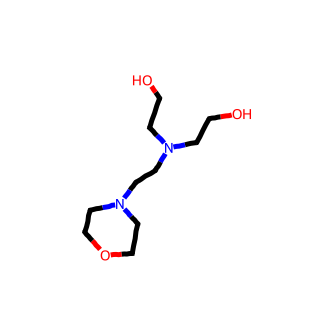 OCCN(CCO)CCN1CCOCC1